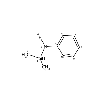 C[SiH](C)N(F)c1ccccc1